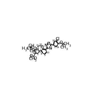 COC(=O)CCC1c2cccc(-c3noc(-c4ccc(OC(C)C)c(Cl)c4)n3)c2OCCN1C(=O)OC(C)(C)C